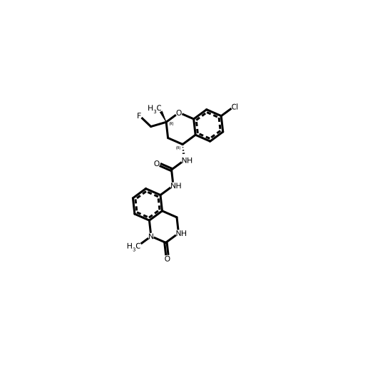 CN1C(=O)NCc2c(NC(=O)N[C@@H]3C[C@](C)(CF)Oc4cc(Cl)ccc43)cccc21